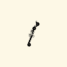 O=C(CCCCCCc1ccccc1)C(=O)NCc1nnc(-c2ccc(OCc3cccc(F)c3)cc2)s1